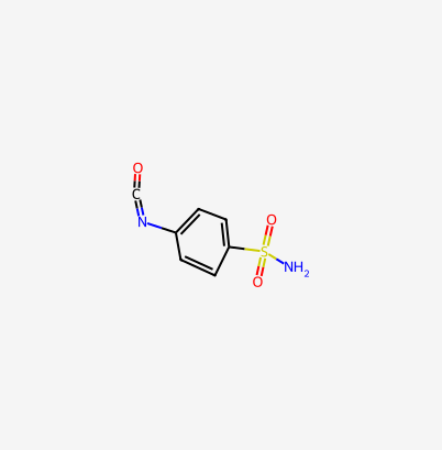 NS(=O)(=O)c1ccc(N=C=O)cc1